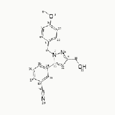 COc1ccc(Cn2nc(CO)cc2-c2cccc(C#N)c2)cc1